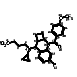 O=C(O)CCCN(C1CC1)C1c2ccc(F)cc2N(C(=O)c2ccc(OC(F)(F)F)cc2)C2CCC21